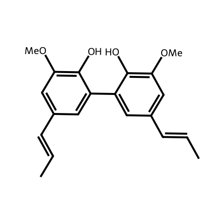 C/C=C/c1cc(OC)c(O)c(-c2cc(/C=C/C)cc(OC)c2O)c1